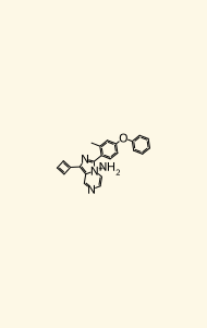 Cc1cc(Oc2ccccc2)ccc1C1=NC(C2=CC=C2)=C2C=NC=C[N+]12N